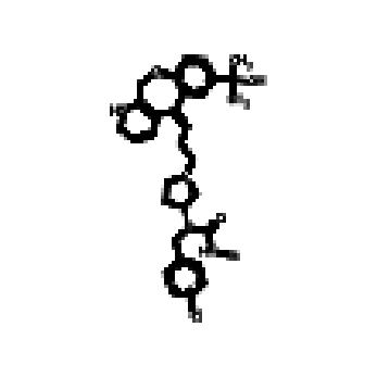 CCNC(=O)N(Cc1ccc(Cl)cc1)[C@H]1CCN(CC/C=C2\C3=C(COc4ccc(C(C)(C)O)cc42)NCC=C3)C1